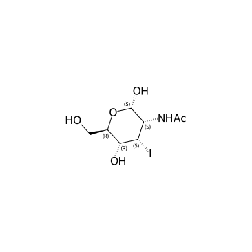 CC(=O)N[C@@H]1[C@H](I)[C@H](O)[C@@H](CO)O[C@@H]1O